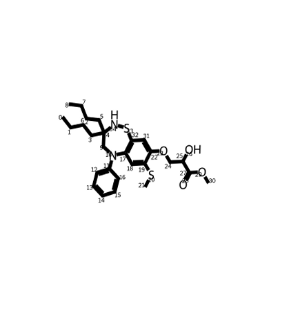 CCCCC1(CCCC)CN(c2ccccc2)c2cc(SC)c(OCC(O)C(=O)OC)cc2SN1